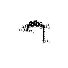 CCCCCCCCCCCCN(C)CC(=O)OC1CC[C@@]2(C)C(=CCC3C2CC[C@@]2(C)C3CC[C@@H]2[C@H](C)CCCC(C)C)C1